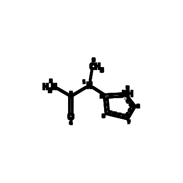 CN(C(N)=O)c1ccc[nH]1